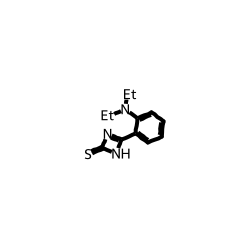 CCN(CC)c1ccccc1C1=NC(=S)N1